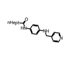 CCCCCCCC(=O)Nc1ccc(NCc2ccncc2)cc1